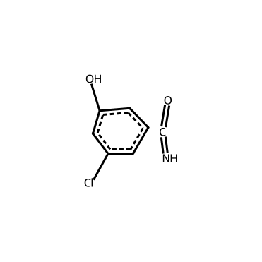 N=C=O.Oc1cccc(Cl)c1